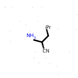 CC(C)CC(C)C#N.N